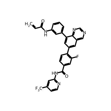 C=CC(=O)Nc1cccc(-c2cc(-c3ccc(C(=O)Nc4cc(C(F)(F)F)ccn4)cc3F)cc3cncnc23)c1